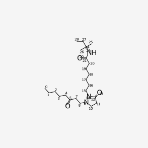 CCCCCC(=O)CCN1CCC(=O)N1CCCCCCC(=O)NC(C)(C)CC